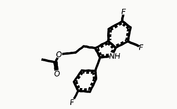 CC(=O)OCCc1c(-c2ccc(F)cc2)[nH]c2c(F)cc(F)cc12